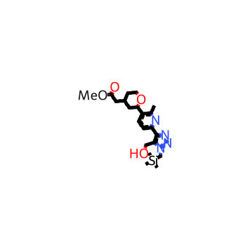 COC(=O)CC1CCOC(c2ccc(-c3nnn(C[Si](C)(C)C)c3CO)nc2C)C1